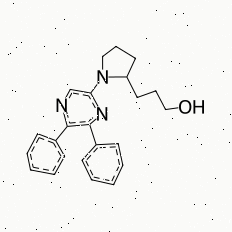 OCCCC1CCCN1c1cnc(-c2ccccc2)c(-c2ccccc2)n1